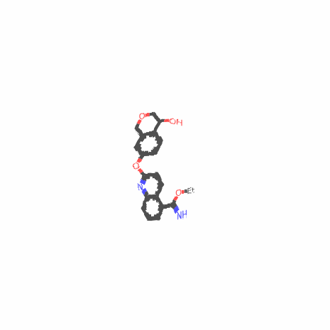 CCOC(=N)c1cccc2nc(Oc3ccc4c(c3)COCC4O)ccc12